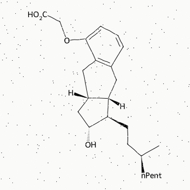 CCCCC[C@H](C)CC[C@@H]1[C@H]2Cc3cccc(OCC(=O)O)c3C[C@H]2C[C@H]1O